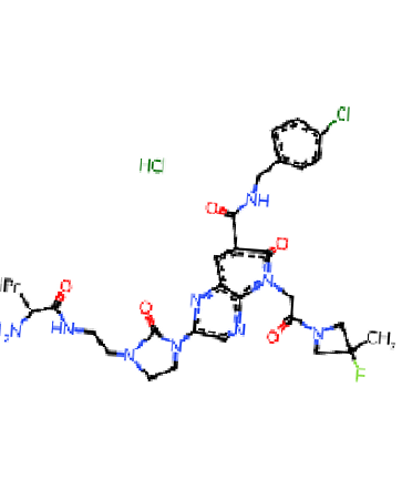 CC(C)[C@H](N)C(=O)NCCN1CCN(c2cnc3c(cc(C(=O)NCc4ccc(Cl)cc4)c(=O)n3CC(=O)N3CC(C)(F)C3)n2)C1=O.Cl